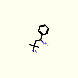 CC(C)(N)CC(N)c1ccccc1